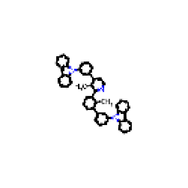 Cc1c(-c2cccc(-n3c4ccccc4c4ccccc43)c2)cccc1-c1nccc(-c2cccc(-n3c4ccccc4c4ccccc43)c2)c1C